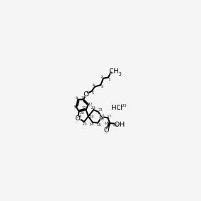 CCCCCCOc1ccc2c(c1)C1(CCN(CC(=O)O)CC1)CO2.Cl